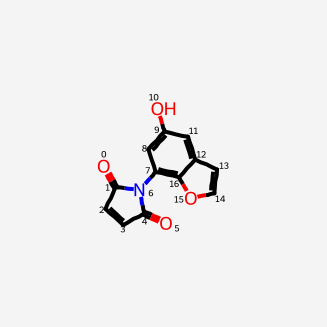 O=C1C=CC(=O)N1c1cc(O)cc2ccoc12